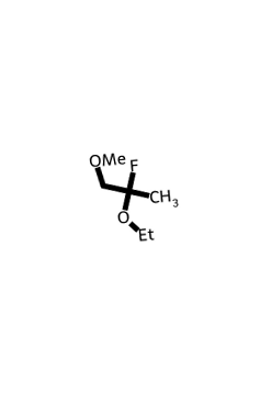 CCOC(C)(F)COC